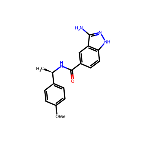 COc1ccc([C@@H](C)NC(=O)c2ccc3[nH]nc(N)c3c2)cc1